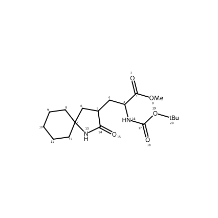 COC(=O)C(CC1CC2(CCCCC2)NC1=O)NC(=O)OC(C)(C)C